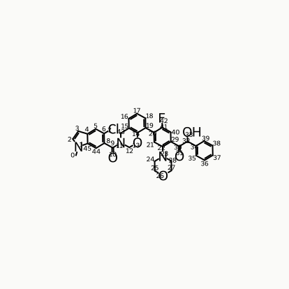 Cn1ccc2cc(Cl)c(C(=O)N3COc4c(cccc4-c4cc(N5CCOCC5)c(C(=O)C(O)c5ccccc5)cc4F)C3)cc21